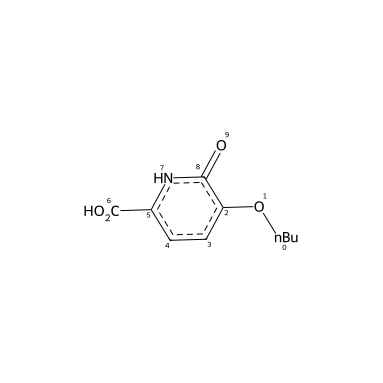 CCCCOc1ccc(C(=O)O)[nH]c1=O